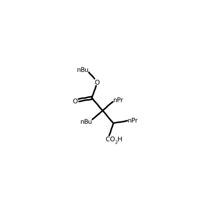 CCCCOC(=O)C(CCC)(CCCC)C(CCC)C(=O)O